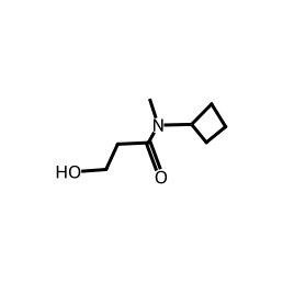 CN(C(=O)CCO)C1CCC1